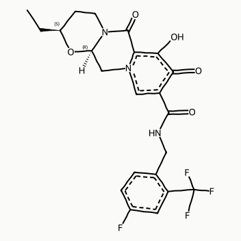 CC[C@H]1CCN2C(=O)c3c(O)c(=O)c(C(=O)NCc4ccc(F)cc4C(F)(F)F)cn3C[C@H]2O1